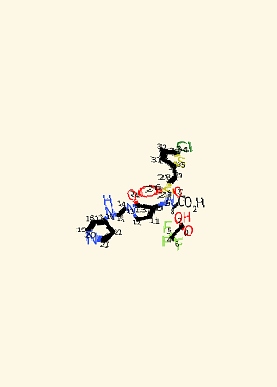 O=C(O)C(F)(F)F.O=C(O)CN(C1CCN(CCNc2ccncc2)C1=O)S(=O)(=O)C=Cc1ccc(Cl)s1